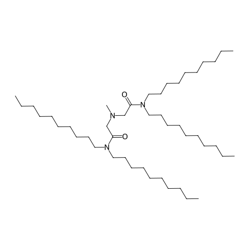 CCCCCCCCCCN(CCCCCCCCCC)C(=O)CN(C)CC(=O)N(CCCCCCCCCC)CCCCCCCCCC